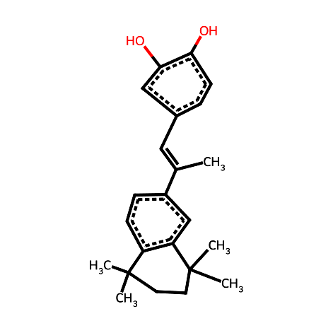 CC(=Cc1ccc(O)c(O)c1)c1ccc2c(c1)C(C)(C)CCC2(C)C